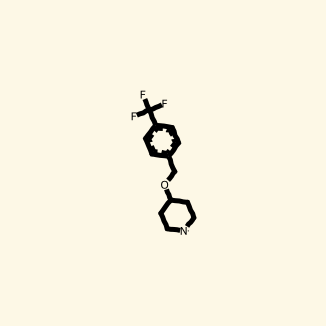 FC(F)(F)c1ccc(COC2CC[N]CC2)cc1